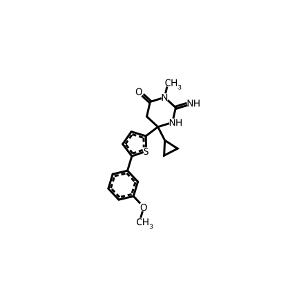 COc1cccc(-c2ccc(C3(C4CC4)CC(=O)N(C)C(=N)N3)s2)c1